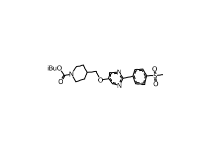 CC(C)COC(=O)N1CCC(COc2cnc(-c3ccc(S(C)(=O)=O)cc3)nc2)CC1